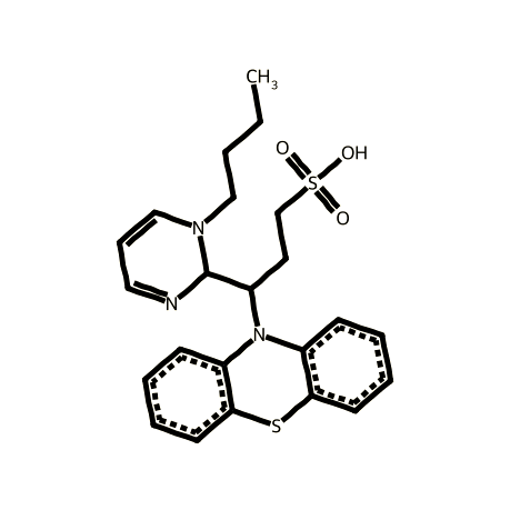 CCCCN1C=CC=NC1C(CCS(=O)(=O)O)N1c2ccccc2Sc2ccccc21